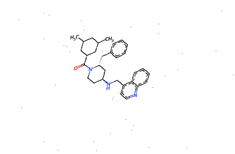 CC1CC(C)CC(C(=O)N2CC[C@H](NCc3ccnc4ccccc34)C[C@H]2Cc2ccccc2)C1